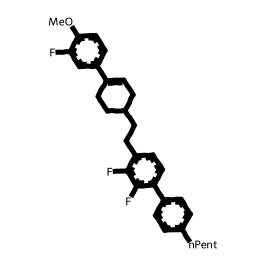 CCCCCc1ccc(-c2ccc(CCC3CC=C(c4ccc(OC)c(F)c4)CC3)c(F)c2F)cc1